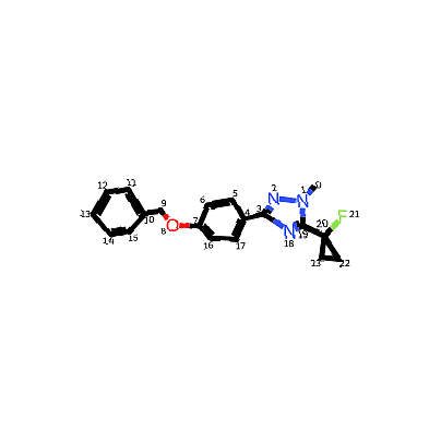 Cn1nc(-c2ccc(OCc3ccccc3)cc2)nc1C1(F)CC1